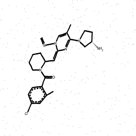 C=NN1C=C(C)C(N2CC[C@H](N)C2)=N/C1=C/C1CCCCN1C(=O)c1ccc(Cl)cc1C